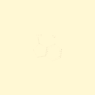 N.OC1CCc2ccccc21